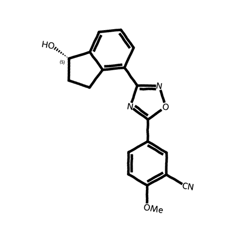 COc1ccc(-c2nc(-c3cccc4c3CC[C@@H]4O)no2)cc1C#N